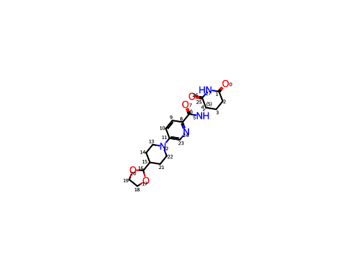 O=C1CC[C@H](NC(=O)c2ccc(N3CCC(C4OCCO4)CC3)cn2)C(=O)N1